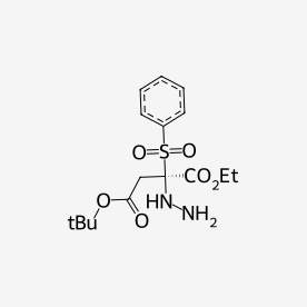 CCOC(=O)[C@@](CC(=O)OC(C)(C)C)(NN)S(=O)(=O)c1ccccc1